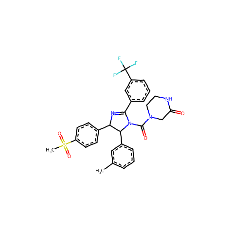 Cc1cccc(C2C(c3ccc(S(C)(=O)=O)cc3)N=C(c3cccc(C(F)(F)F)c3)N2C(=O)N2CCNC(=O)C2)c1